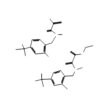 Cc1cc(C(F)(F)C(F)(F)F)ccc1CN(C)C(=O)C(=O)OCC(F)(F)F.Cc1cc(C(F)(F)C(F)(F)F)ccc1CN(C)C(=O)C(N)=O